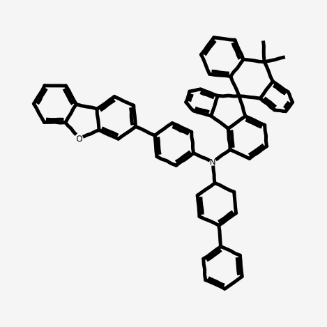 CC1(C)c2ccccc2C2(c3ccccc3-c3c(N(c4ccc(-c5ccc6c(c5)oc5ccccc56)cc4)C4C=CC(c5ccccc5)=CC4)cccc32)c2ccccc21